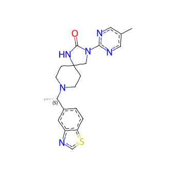 Cc1cnc(N2CC3(CCN([C@@H](C)c4ccc5scnc5c4)CC3)NC2=O)nc1